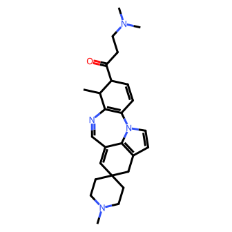 CC1C2=C(C=CC1C(=O)CCN(C)C)n1ccc3c1C(=CC1(CCN(C)CC1)C3)C=N2